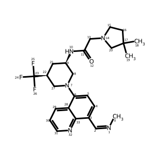 C/N=C\c1ccc(N2C[C@H](NC(=O)CN3CCC(C)(C)C3)C[C@H](C(F)(F)F)C2)c2cccnc12